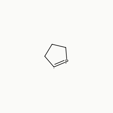 [C]1=PCCC1